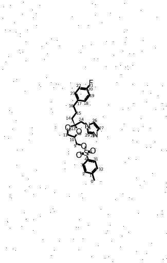 Cc1ccc(S(=O)(=O)OC[C@H]2CO[C@](CCCc3ccc(F)cc3)(Cn3ccnc3)O2)cc1